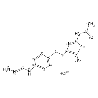 CC(=O)Nc1nc(CCc2ccc(NC=NN)cc2)c(Br)s1.Cl